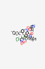 COc1ccc([C@H](Cc2c(Cl)c[n+](O)cc2Cl)c2cc(CN(C(=O)O[C@H]3CN4CCC3CC4)c3cccc(C(=O)N(C)C)c3)ccc2C(=O)[O-])cc1OC